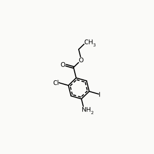 CCOC(=O)c1cc(I)c(N)cc1Cl